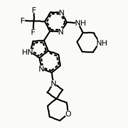 FC(F)(F)c1cnc(NC2CCCNC2)nc1-c1c[nH]c2nc(N3CC4(CCCOC4)C3)ccc12